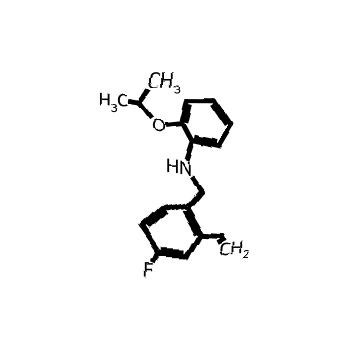 C=Cc1cc(F)ccc1CNc1ccccc1OC(C)C